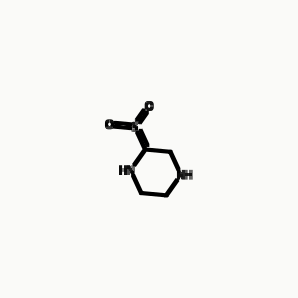 O=S(=O)=C1CNCCN1